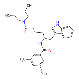 CN(C(=O)c1cc(C(F)(F)F)cc(C(F)(F)F)c1)C(CCCC(=O)N(CCC#N)CCC#N)Cc1c[nH]c2ccccc12